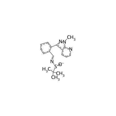 Cn1nc(-c2ccccc2/C=N/[S@@+]([O-])C(C)(C)C)c2cccnc21